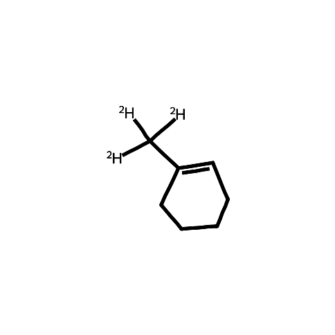 [2H]C([2H])([2H])C1=CCCCC1